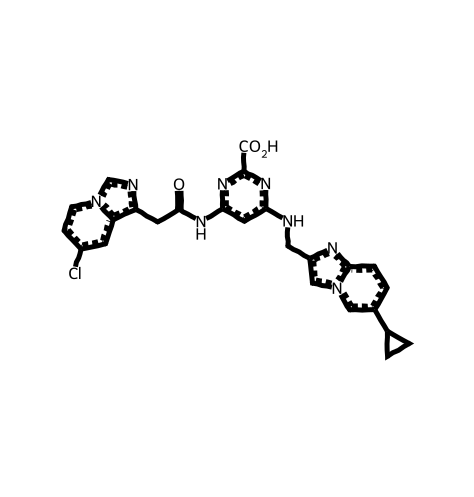 O=C(Cc1ncn2ccc(Cl)cc12)Nc1cc(NCc2cn3cc(C4CC4)ccc3n2)nc(C(=O)O)n1